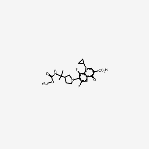 CC(C)(C)OC(=O)NC(C)(C)C1CCN(c2c(F)cc3c(=O)c(C(=O)O)cn(C4CC4)c3c2F)C1